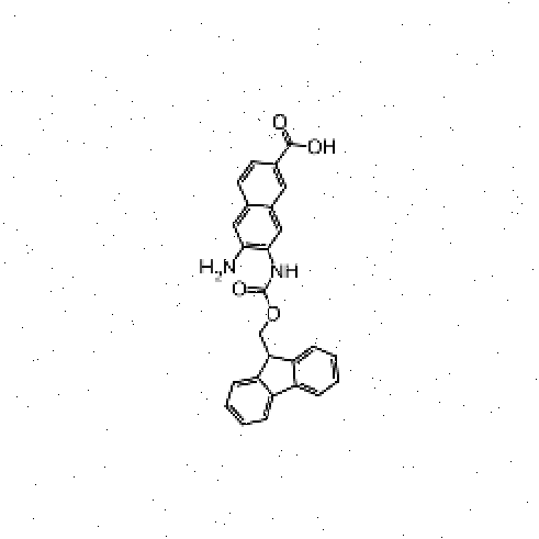 Nc1cc2ccc(C(=O)O)cc2cc1NC(=O)OCC1c2ccccc2-c2ccccc21